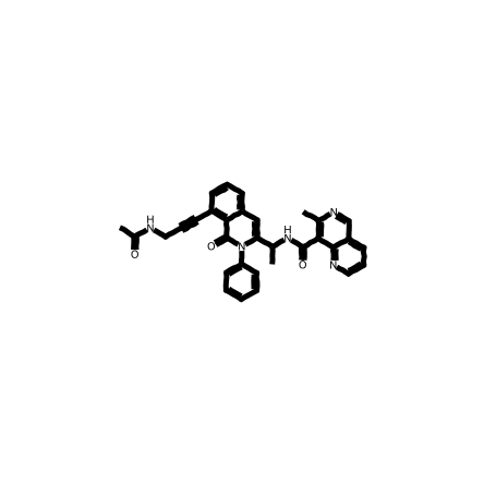 CC(=O)NCC#Cc1cccc2cc(C(C)NC(=O)c3c(C)ncc4cccnc34)n(-c3ccccc3)c(=O)c12